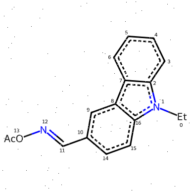 CCn1c2ccccc2c2cc(C=NOC(C)=O)ccc21